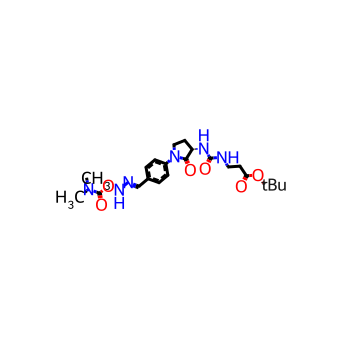 CN(C)C(=O)ONN=Cc1ccc(N2CC[C@H](NC(=O)NCCC(=O)OC(C)(C)C)C2=O)cc1